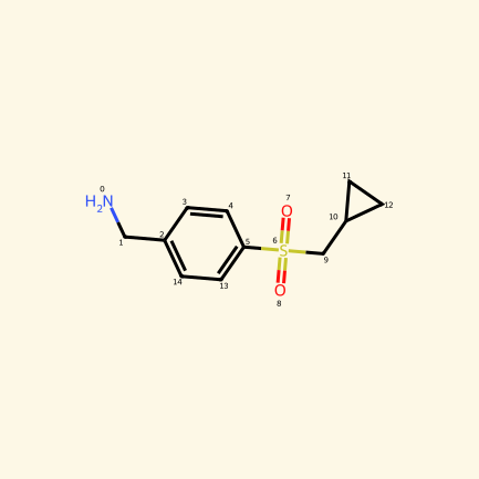 NCc1ccc(S(=O)(=O)CC2CC2)cc1